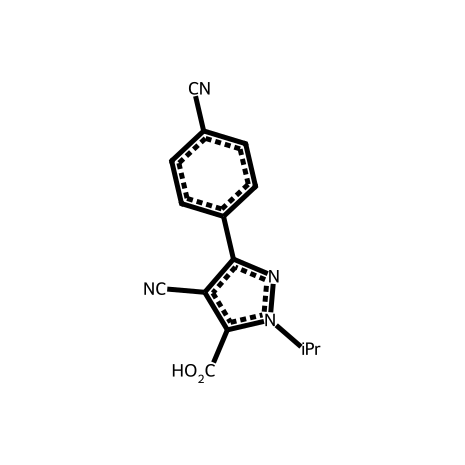 CC(C)n1nc(-c2ccc(C#N)cc2)c(C#N)c1C(=O)O